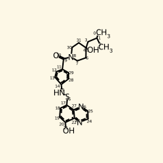 CC(C)CC1(O)CCN(C(=O)c2ccc(NSc3ccc(O)c4nccnc34)cc2)CC1